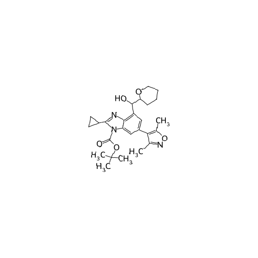 Cc1noc(C)c1-c1cc(C(O)C2CCCCO2)c2nc(C3CC3)n(C(=O)OC(C)(C)C)c2c1